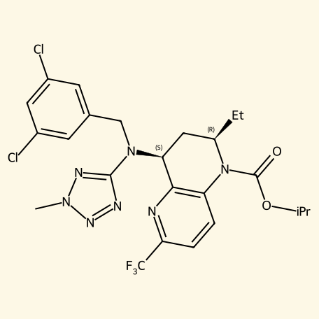 CC[C@@H]1C[C@H](N(Cc2cc(Cl)cc(Cl)c2)c2nnn(C)n2)c2nc(C(F)(F)F)ccc2N1C(=O)OC(C)C